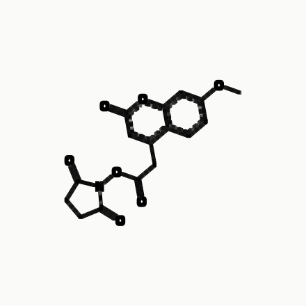 COc1ccc2c(CC(=O)ON3C(=O)CCC3=O)cc(=O)oc2c1